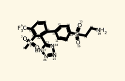 CS(=O)(=O)c1c(C(F)(F)F)ccc(-c2ccc(S(=O)(=O)CCN)cc2)c1-c1nnn[nH]1